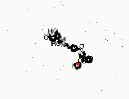 O=C(c1ccc(CCNCC(O)c2ccc(O)c3[nH]c(=O)ccc23)cc1)N1CCC(C(=O)OC2CN3CCC2CC3)(c2ccccc2)CC1